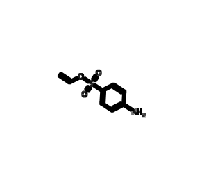 C=COS(=O)(=O)c1ccc(N)cc1